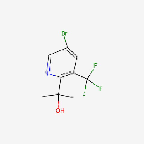 CC(C)(O)c1ncc(Br)cc1C(F)(F)F